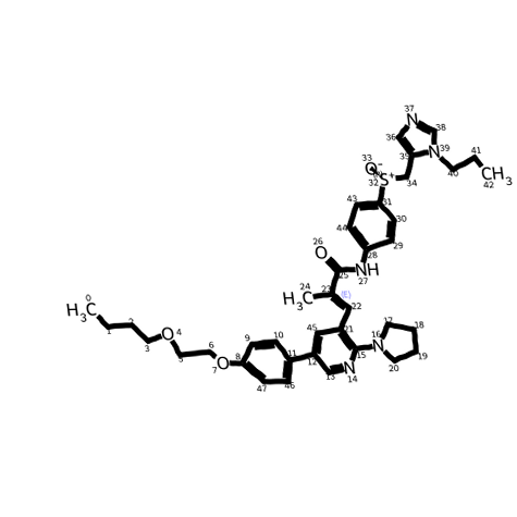 CCCCOCCOc1ccc(-c2cnc(N3CCCC3)c(/C=C(\C)C(=O)Nc3ccc([S@@+]([O-])Cc4cncn4CCC)cc3)c2)cc1